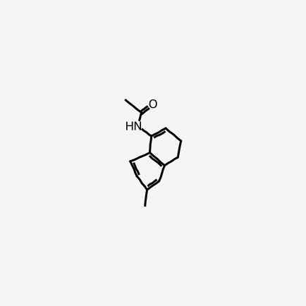 CC(=O)NC1=CCCc2cc(C)ccc21